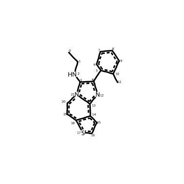 CCNc1c(-c2ccccc2C)nc2c3ccsc3ccn12